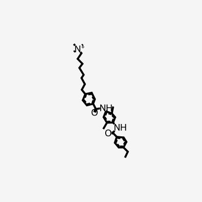 CCc1ccc(C(=O)Nc2cc(C)c(NC(=O)c3ccc(CCCCCCCC[N+](C)(C)C)cc3)cc2C)cc1